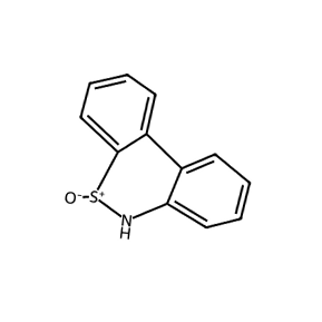 [O-][S+]1Nc2ccccc2-c2ccccc21